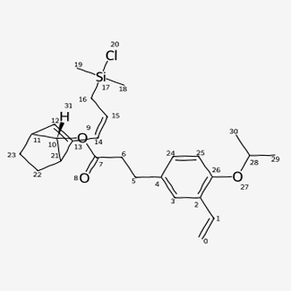 C=Cc1cc(CCC(=O)O[C@H]2C3C=C(/C=C\C[Si](C)(C)Cl)C2CC3)ccc1OC(C)C